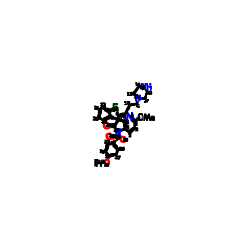 COc1ccc2c(n1)C(CCCCN1CCNCC1)(c1ccccc1F)C(=O)N2S(=O)(=O)c1ccc(OC(C)C)cc1